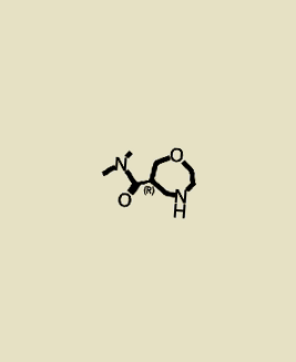 CN(C)C(=O)[C@@H]1CNCCOC1